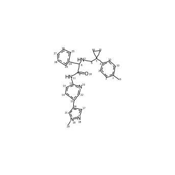 Cc1ccc(C2(CNC(C(=O)Nc3ccc(-c4cnn(C)c4)cn3)c3ccccc3)CC2)cc1